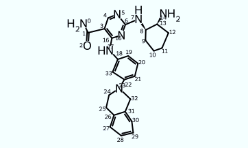 NC(=O)c1cnc(N[C@@H]2CCCC[C@@H]2N)nc1Nc1cccc(N2CCc3ccccc3C2)c1